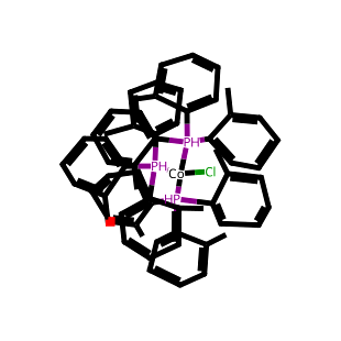 Cc1ccccc1[PH](c1ccccc1C)(c1ccccc1C)[Co]([Cl])([PH](c1ccccc1C)(c1ccccc1C)c1ccccc1C)[PH](c1ccccc1C)(c1ccccc1C)c1ccccc1C